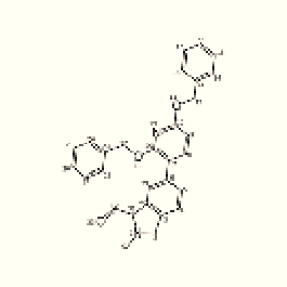 CN1Cc2ccc(-c3ccc(OCc4ccccc4)nc3OCc3ccccc3)cc2C1C=O